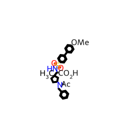 COc1ccc(-c2ccc(S(=O)(=O)NC(C(=O)O)C3(C)CCC(N(Cc4ccccc4)C(C)=O)C3)cc2)cc1